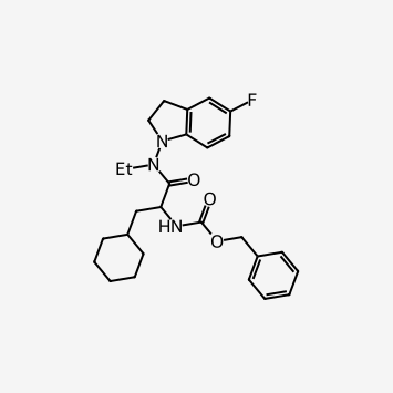 CCN(C(=O)C(CC1CCCCC1)NC(=O)OCc1ccccc1)N1CCc2cc(F)ccc21